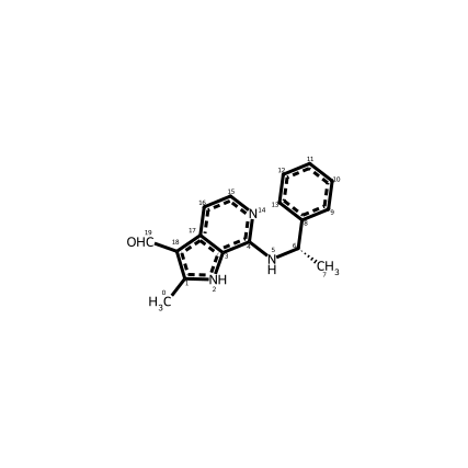 Cc1[nH]c2c(N[C@@H](C)c3ccccc3)nccc2c1C=O